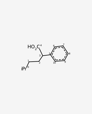 CC(C)CCC(C(=O)O)c1ccccc1